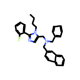 CCCCn1c(CN(Cc2ccccc2)Cc2ccc3ccccc3c2)cnc1-c1ccccc1F